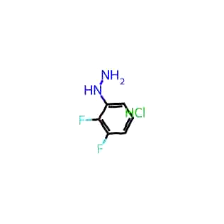 Cl.NNc1cccc(F)c1F